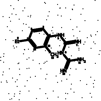 CCc1ccc(NC(=N)NC(=N)N)c(C)c1